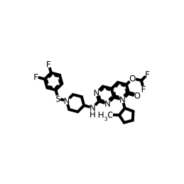 CC1CCCC1n1c(=O)c(OC(F)F)cc2cnc(NC3CCN(Sc4ccc(F)c(F)c4)CC3)nc21